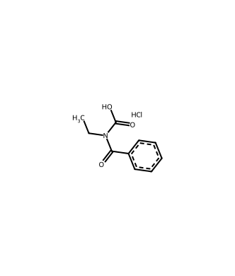 CCN(C(=O)O)C(=O)c1ccccc1.Cl